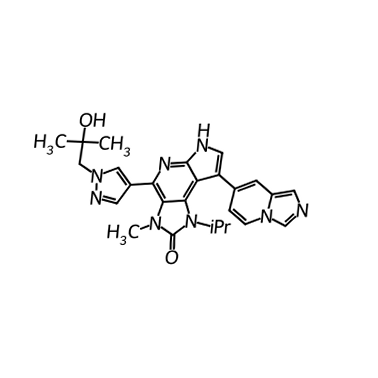 CC(C)n1c(=O)n(C)c2c(-c3cnn(CC(C)(C)O)c3)nc3[nH]cc(-c4ccn5cncc5c4)c3c21